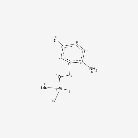 CC(C)(C)[Si](C)(C)OCc1cc(Cl)ccc1N